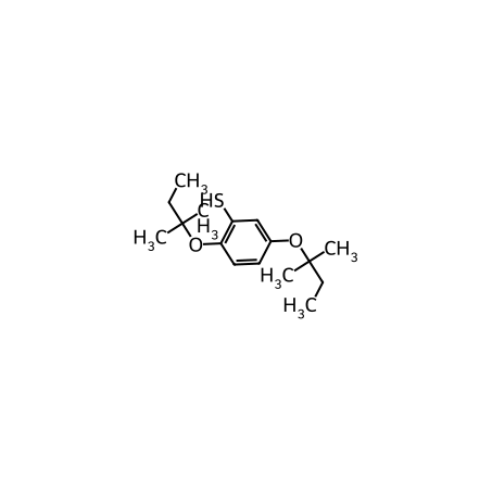 CCC(C)(C)Oc1ccc(OC(C)(C)CC)c(S)c1